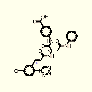 O=C(/C=C/c1cc(Cl)ccc1-n1cnnn1)N[C@@H](CC(=O)Nc1ccccc1)C(=O)Nc1ccc(C(=O)O)cc1